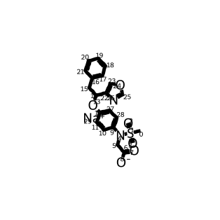 CS(=O)(=O)N(CC(=O)[O-])c1ccc(OC(Cc2ccccc2)c2cocn2)cc1.[Na+]